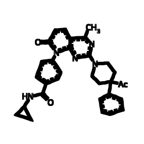 CC(=O)C1(c2ccccc2)CCN(c2nc(C)c3ccc(=O)n(-c4ccc(C(=O)NC5CC5)cc4)c3n2)CC1